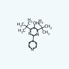 CC(C)(C)c1nc(-c2ccncc2)nc(C(C)(C)C)c1O